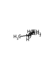 CCCCCCCCCNCC(=O)N1CCN(C(=O)OC(C)(C)C)CC1